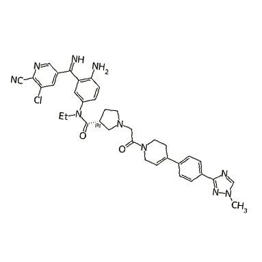 CCN(C(=O)[C@@H]1CCN(CC(=O)N2CC=C(c3ccc(-c4ncn(C)n4)cc3)CC2)C1)c1ccc(N)c(C(=N)c2cnc(C#N)c(Cl)c2)c1